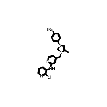 CC1=CN(c2ccc(C(C)(C)C)cc2)CN1Cc1ccnc(Nc2cccnc2Cl)c1